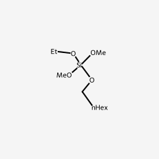 CCCCCCCO[Si](OC)(OC)OCC